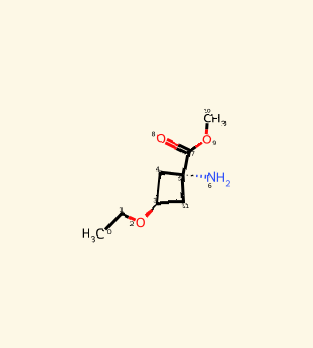 CCO[C@H]1C[C@@](N)(C(=O)OC)C1